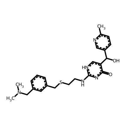 Cc1ccc(C(O)c2c[nH]c(NCCSCc3cccc(CN(C)C)c3)nc2=O)cn1